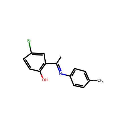 C/C(=N\c1ccc(C(F)(F)F)cc1)c1cc(Br)ccc1O